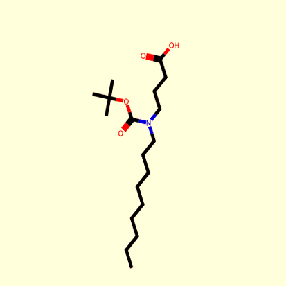 CCCCCCCCCN(CCCC(=O)O)C(=O)OC(C)(C)C